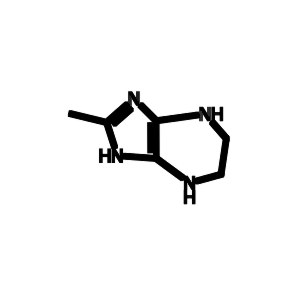 Cc1nc2c([nH]1)NCCN2